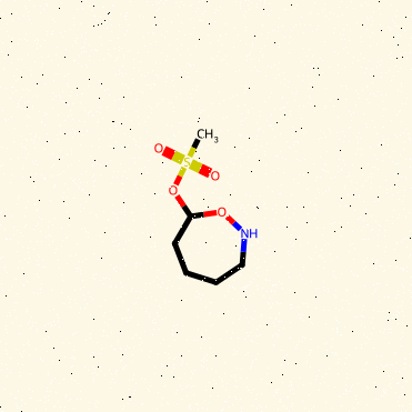 CS(=O)(=O)OC1CCCCNO1